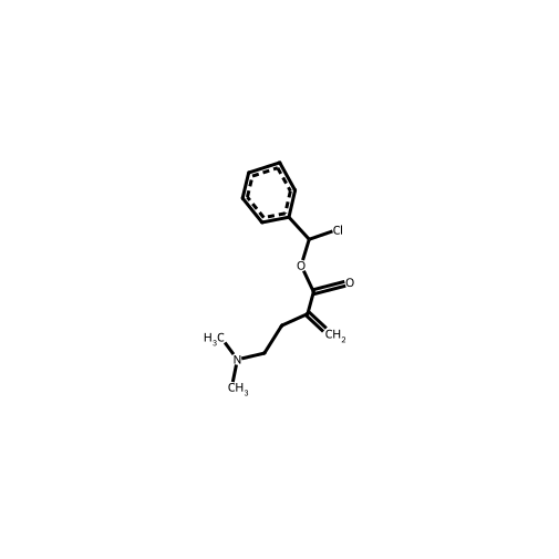 C=C(CCN(C)C)C(=O)OC(Cl)c1ccccc1